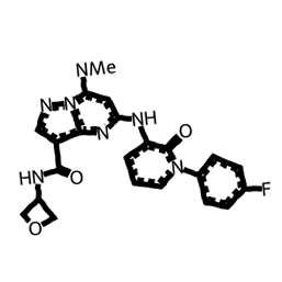 CNc1cc(Nc2cccn(-c3ccc(F)cc3)c2=O)nc2c(C(=O)NC3COC3)cnn12